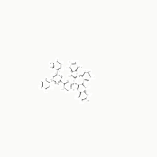 c1ccc(-c2cc(-c3ccccc3)nc(-c3cccc(N4c5cc6ccccc6cc5-c5ccccc5-n5c4cc4ccccc45)c3)n2)cc1